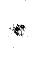 Cc1cc(N(C)c2ccc(Cl)cc2)c(C)cc1/N=C\N(C)C